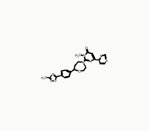 Cc1noc(-c2ccc(C3CCN(c4nc(-c5ccncn5)cc(=O)n4C)CCO3)cc2)n1